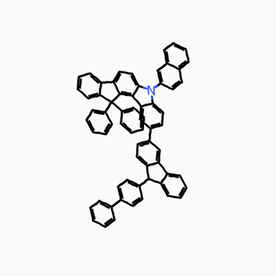 c1ccc(-c2ccc(C3c4ccccc4-c4cc(-c5ccc6c(c5)c5c7c(ccc5n6-c5ccc6ccccc6c5)-c5ccccc5C7(c5ccccc5)c5ccccc5)ccc43)cc2)cc1